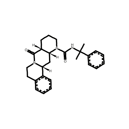 CC(C)(NC(=O)N1CCC[C@H]2C(=O)N3CCc4ccccc4[C@H]3C[C@H]21)c1ccccc1